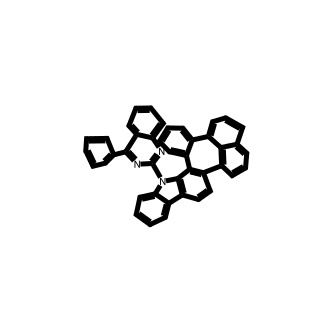 c1ccc(-c2nc(-n3c4ccccc4c4ccc5c(c43)-c3ccccc3-c3cccc4cccc-5c34)nc3ccccc23)cc1